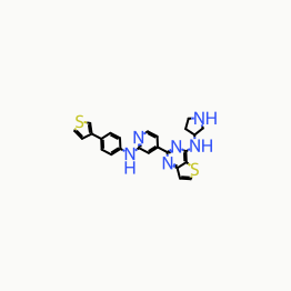 c1cc(-c2nc(NC3CCNC3)c3sccc3n2)cc(Nc2ccc(-c3ccsc3)cc2)n1